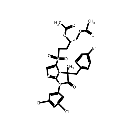 CC(=O)OC[C@H](CCS(=O)(=O)c1cnc2n1[C@](C)(Cc1ccc(Br)cc1)C(=O)N2c1cc(Cl)cc(Cl)c1)OC(C)=O